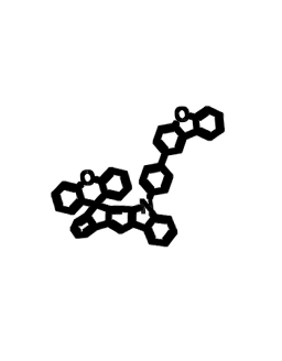 c1ccc2c(c1)Oc1ccccc1C21c2ccccc2-c2cc3c4ccccc4n(-c4ccc(-c5ccc6oc7ccccc7c6c5)cc4)c3cc21